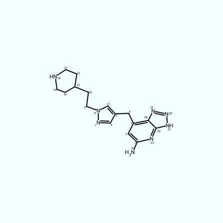 Nc1cc(Cc2cnn(CCC3CCNCC3)c2)c2nn[nH]c2n1